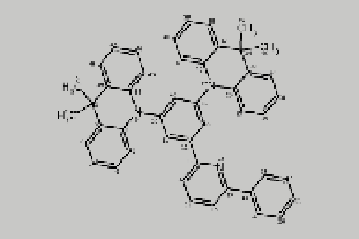 CC1(C)c2ccccc2N(c2cc(-c3cccc(-c4ccccc4)n3)cc(N3c4ccccc4C(C)(C)c4ccccc43)c2)c2ccccc21